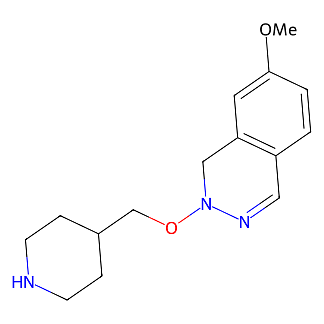 COc1ccc2c(c1)CN(OCC1CCNCC1)N=C2